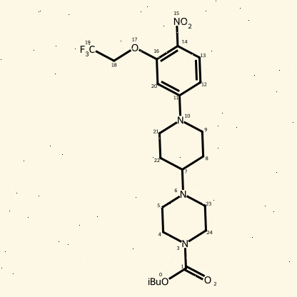 CC(C)COC(=O)N1CCN(C2CCN(c3ccc([N+](=O)[O-])c(OCC(F)(F)F)c3)CC2)CC1